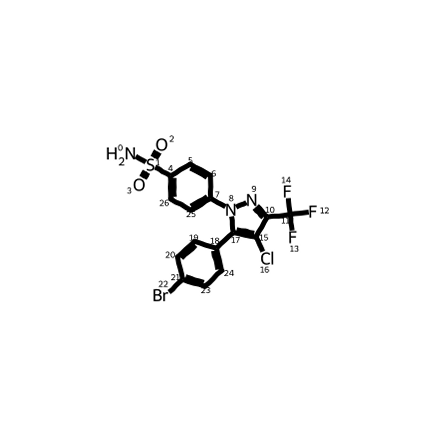 NS(=O)(=O)c1ccc(-n2nc(C(F)(F)F)c(Cl)c2-c2ccc(Br)cc2)cc1